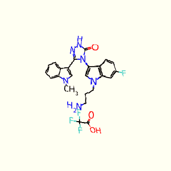 Cn1cc(-c2n[nH]c(=O)n2-c2cn(CCCN)c3cc(F)ccc23)c2ccccc21.O=C(O)C(F)(F)F